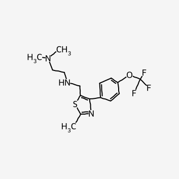 Cc1nc(-c2ccc(OC(F)(F)F)cc2)c(CNCCN(C)C)s1